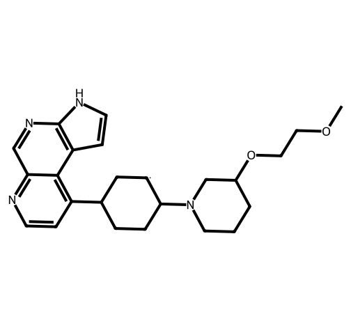 COCCOC1CCCN(C2[CH]CC(c3ccnc4cnc5[nH]ccc5c34)CC2)C1